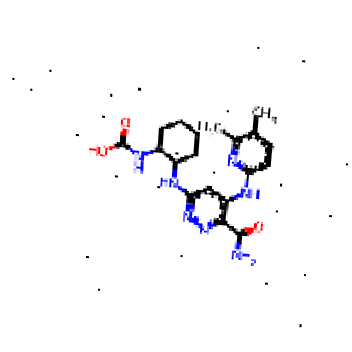 Cc1ccc(Nc2cc(NC3CCCCC3NC(=O)O)nnc2C(N)=O)nc1C